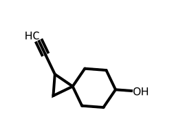 C#CC1CC12CCC(O)CC2